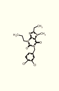 CCCn1c(=O)n(Cc2ccc(Cl)c(Cl)c2)c(=O)c2c1nc(CC)n2C